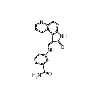 NC(=O)c1cccc(NC=C2C(=O)Nc3ccc4ncccc4c32)c1